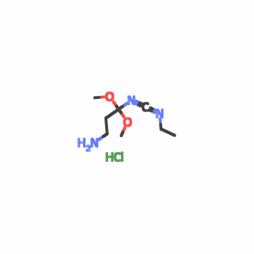 CCN=C=NC(CCN)(OC)OC.Cl